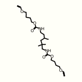 C=COCCCCOC(=O)NCCC(C)CC(C)(C)CNC(=O)OCCCCOC=C